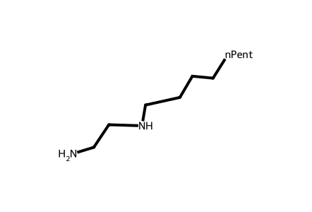 [CH2]CCCCCCCCNCCN